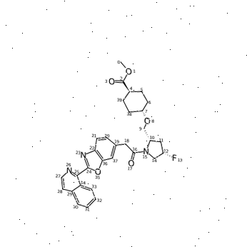 COC(=O)[C@H]1CC[C@H](OC[C@@H]2C[C@H](F)CN2C(=O)Cc2ccc3nc(-c4nccc5ccccc45)oc3c2)CC1